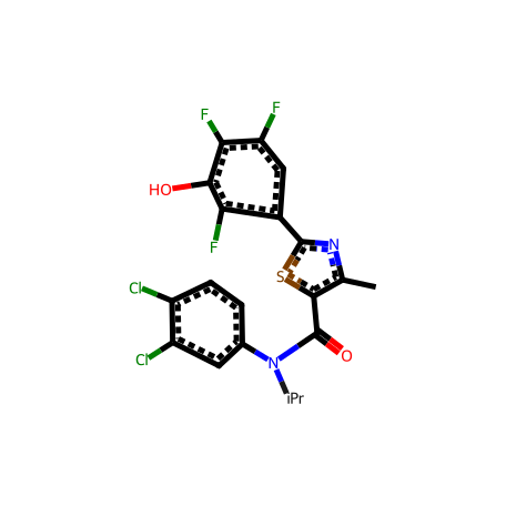 Cc1nc(-c2cc(F)c(F)c(O)c2F)sc1C(=O)N(c1ccc(Cl)c(Cl)c1)C(C)C